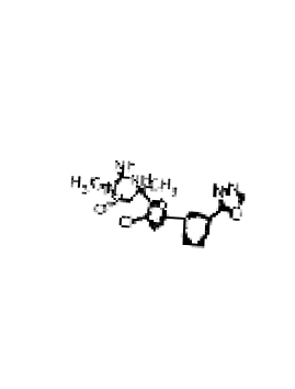 CN1C(=N)N[C@](C)(c2sc(-c3cccc(-c4nnco4)c3)cc2Cl)C[S+]1[O-]